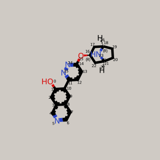 Oc1cc2cnccc2cc1-c1ccc(O[C@H]2C[C@H]3CC[C@@H](C2)N3)nn1